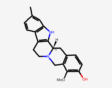 COc1c(O)ccc2c1CN1CCc3c([nH]c4cc(C)ccc34)[C@@H]1C2